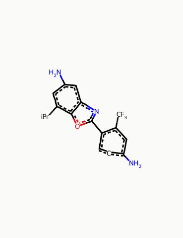 CC(C)c1cc(N)cc2nc(-c3ccc(N)cc3C(F)(F)F)oc12